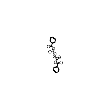 O=C(OS(=O)OOS(=O)OC(=O)c1ccccc1)c1ccccc1